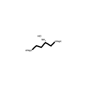 Cl.N.[CH2]CCCCCCCCCCCCCCCCC